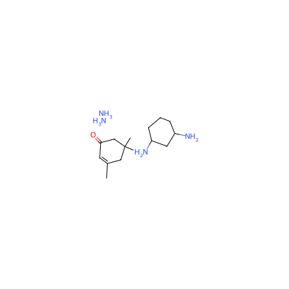 CC1=CC(=O)CC(C)(C)C1.N.N.NC1CCCC(N)C1